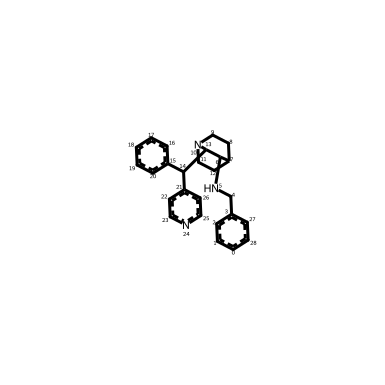 c1ccc(CNC2C3CCN(CC3)C2C(c2ccccc2)c2ccncc2)cc1